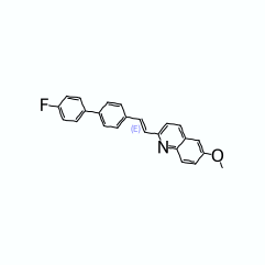 COc1ccc2nc(/C=C/c3ccc(-c4ccc(F)cc4)cc3)ccc2c1